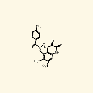 Cc1c([N+](=O)[O-])cc2[nH]c(=O)c(=O)[nH]c2c1CN(C)C(=O)c1ccc(C(F)(F)F)cc1